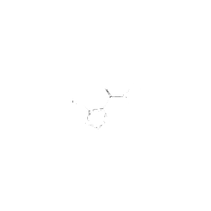 Cc1ncsc1C(=O)N(C)C